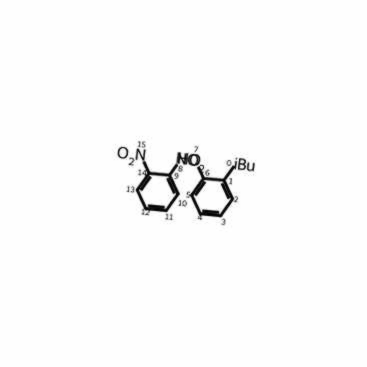 CCC(C)c1ccccc1O.O=[N+]([O-])c1ccccc1[N+](=O)[O-]